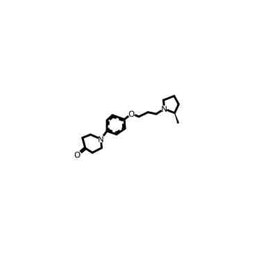 C[C@@H]1CCCN1CCCOc1ccc(N2CCC(=O)CC2)cc1